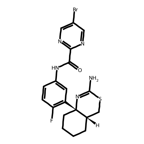 NC1=N[C@@]2(c3cc(NC(=O)c4ncc(Br)cn4)ccc3F)CCCC[C@H]2CS1